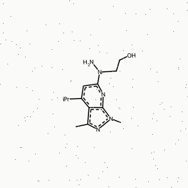 Cc1nn(C)c2nc(N(N)CCO)cc(C(C)C)c12